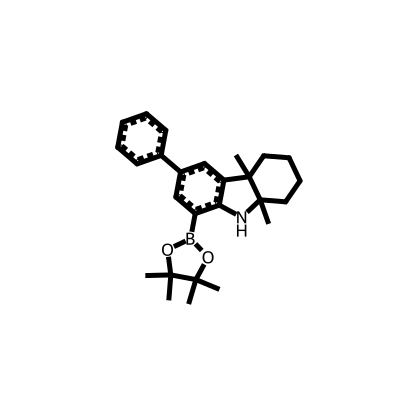 CC12CCCCC1(C)c1cc(-c3ccccc3)cc(B3OC(C)(C)C(C)(C)O3)c1N2